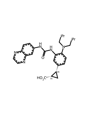 CC(C)CN(CC(C)C)c1ccc([C@@H]2C[C@@H]2C(=O)O)cc1NC(=O)Nc1ccc2nccnc2c1